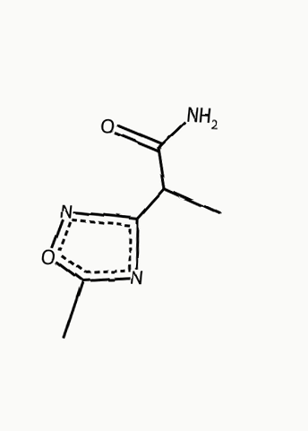 Cc1nc(C(C)C(N)=O)no1